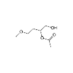 COCCC(CO)OC(C)=O